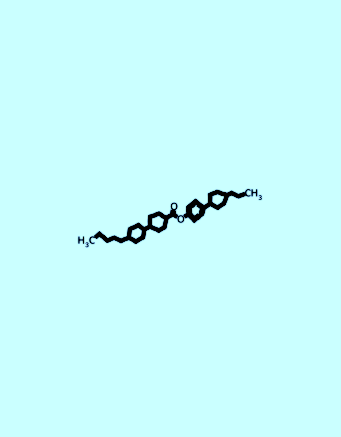 CCCCCC1CCC(C2CCC(C(=O)Oc3ccc(C4CCC(CCC)CC4)cc3)CC2)CC1